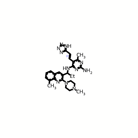 CCC(Nc1nc(N)nc(C)c1/C=C/c1nnn[nH]1)c1cc2cccc(C)c2nc1N1CCN(C)CC1